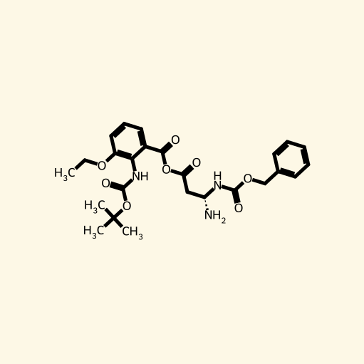 CCOc1cccc(C(=O)OC(=O)C[C@@H](N)NC(=O)OCc2ccccc2)c1NC(=O)OC(C)(C)C